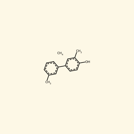 C.Cc1cccc(-c2ccc(O)c(C)c2)c1